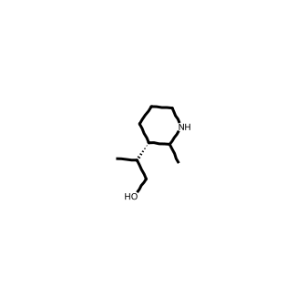 CC(CO)[C@@H]1CCCNC1C